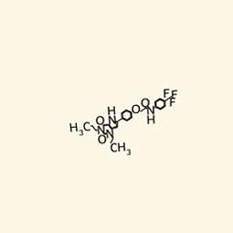 CCCn1c(=O)c2[nH]c(-c3ccc(OCC(=O)Nc4ccc(C(F)(F)F)cc4)cc3)cc2n(CCC)c1=O